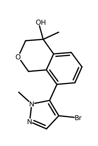 Cn1ncc(Br)c1-c1cccc2c1COCC2(C)O